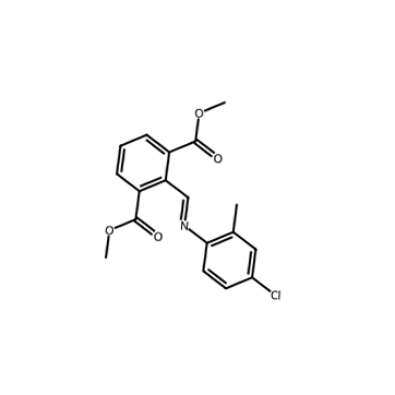 COC(=O)c1cccc(C(=O)OC)c1C=Nc1ccc(Cl)cc1C